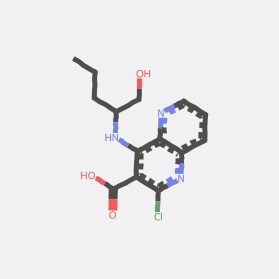 CCCC(CO)Nc1c(C(=O)O)c(Cl)nc2cccnc12